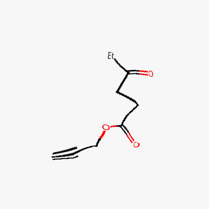 C#CCOC(=O)CCC(=O)CC